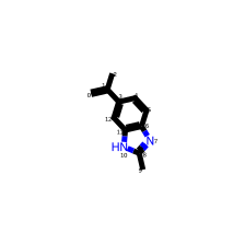 C=C(C)c1ccc2nc(C)[nH]c2c1